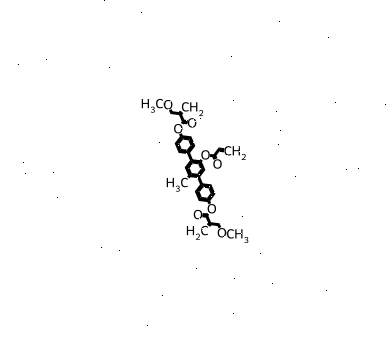 C=CC(=O)Oc1cc(-c2ccc(OC(=O)C(=C)COC)cc2)c(C)cc1-c1ccc(OC(=O)C(=C)COC)cc1